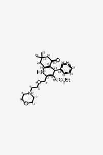 CCOC(=O)C1=C(COCCN2CCOCC2)NC2=C(C(=O)CC(C)(C)C2)C1c1cccnc1